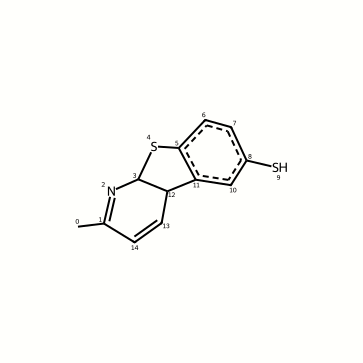 CC1=NC2Sc3ccc(S)cc3C2C=C1